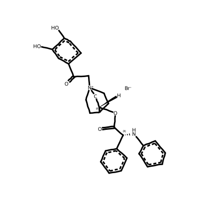 O=C(C[N+]12CCC(CC1)[C@@H](OC(=O)[C@H](Nc1ccccc1)c1ccccc1)C2)c1ccc(O)c(O)c1.[Br-]